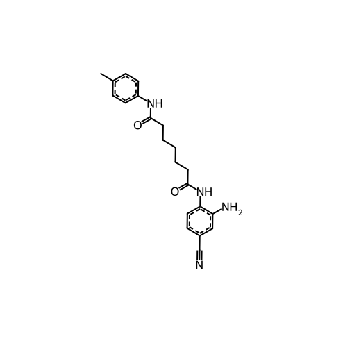 Cc1ccc(NC(=O)CCCCCC(=O)Nc2ccc(C#N)cc2N)cc1